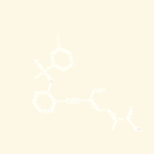 C=C/C(C#Cc1ccccc1N=S(C)(=O)c1cccc(C)c1)=C\C=C(/C)C(=O)O